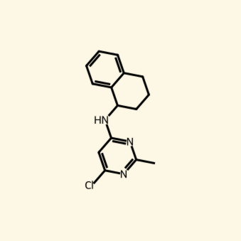 Cc1nc(Cl)cc(NC2CCCc3ccccc32)n1